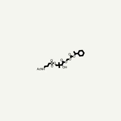 CC(=O)NCCCS(=O)(=O)OCC(C)(C)[C@@H](O)C(=O)OCOC(=O)OC(C)C1CCCCC1